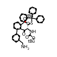 CC(C)(C)OC(=O)N[C@@H](CSC(c1ccccc1)(c1ccccc1)c1ccccc1)C(=O)c1c(C(=O)OC(C)(C)C)cccc1-c1cccc(CN)c1